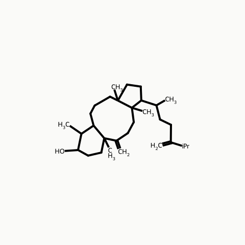 C=C(CCC(C)C1CCC2(C)CCCC3C(C)C(O)CCC3(C)C(=C)CCC12C)C(C)C